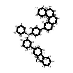 c1ccc(N(c2ccc(-c3ccc4ccc5ccc6ccccc6c5c4c3)cc2)c2cccc(-c3ccc4c(c3)oc3ccccc34)c2)cc1